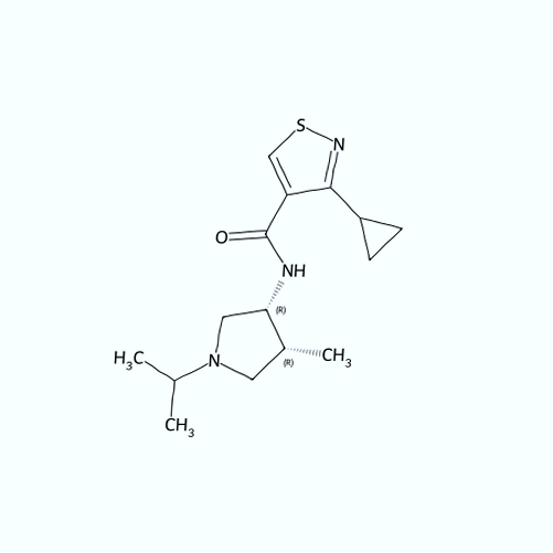 CC(C)N1C[C@@H](C)[C@@H](NC(=O)c2csnc2C2CC2)C1